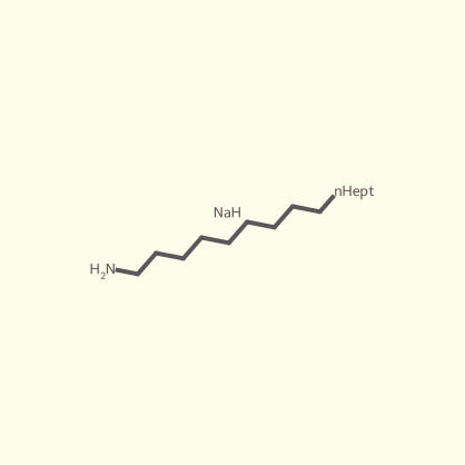 CCCCCCCCCCCCCCCCN.[NaH]